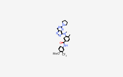 COc1ccc(NC(=O)c2ccc(C)c(N(C)c3ncnc4cnc(N5CCCC5)nc34)c2)cc1C(F)(F)F